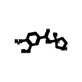 CC[C@@]1(NC(=O)c2ccc(N)c(OC)c2)CCNC1